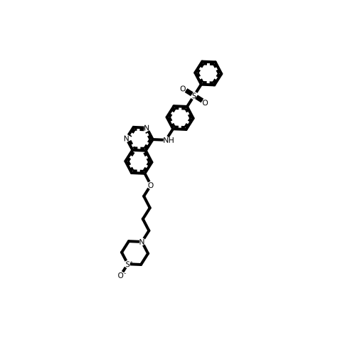 O=S(=O)(c1ccccc1)c1ccc(Nc2ncnc3ccc(OCCCCN4CC[S+]([O-])CC4)cc23)cc1